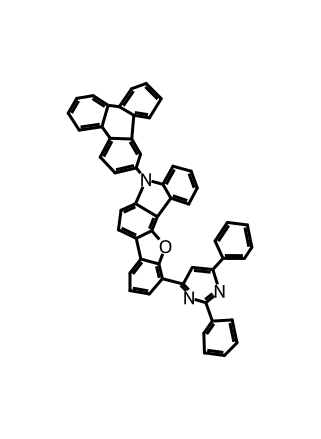 c1ccc(-c2cc(-c3cccc4c3oc3c4ccc4c3c3ccccc3n4-c3ccc4c5ccccc5c5ccccc5c4c3)nc(-c3ccccc3)n2)cc1